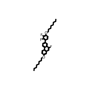 CCCCCCCCOc1ccc2c(c1)cc(F)c1cc(-c3ccc(OCCCCCCCC)c(F)c3F)ccc12